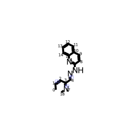 C\C=C/C(/C=N/Nc1ccc2ccccc2n1)=N\C